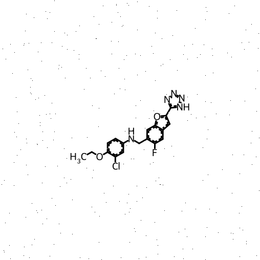 CCOc1ccc(NCc2cc3oc(-c4nnn[nH]4)cc3cc2F)cc1Cl